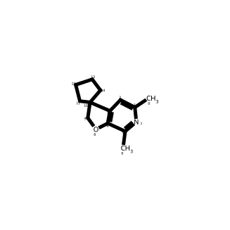 Cc1cc2c(c(C)n1)OCC21CCCC1